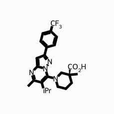 Cc1nc2cc(-c3ccc(C(F)(F)F)cc3)nn2c(N2CCC[C@](C)(C(=O)O)C2)c1C(C)C